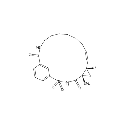 N[C@]12C[C@H]1/C=C\CCCCCCNC(=O)c1cccc(c1)S(=O)(=O)NC2=O